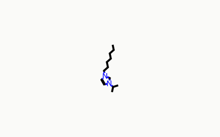 CCCCCCCN1C=CN(C(C)C)C1